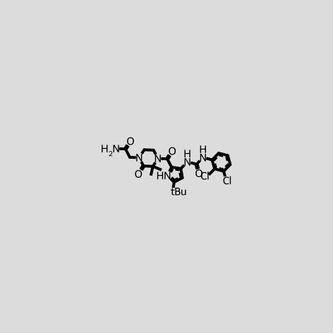 CC(C)(C)c1cc(NC(=O)Nc2cccc(Cl)c2Cl)c(C(=O)N2CCN(CC(N)=O)C(=O)C2(C)C)[nH]1